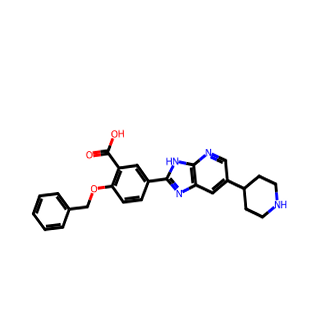 O=C(O)c1cc(-c2nc3cc(C4CCNCC4)cnc3[nH]2)ccc1OCc1ccccc1